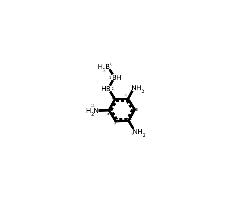 BBBc1c(N)cc(N)cc1N